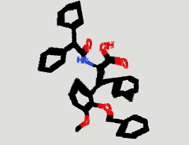 COc1cccc([C@H](c2ccccc2)[C@@H](NC(=O)C(c2ccccc2)c2ccccc2)C(=O)O)c1OCc1ccccc1